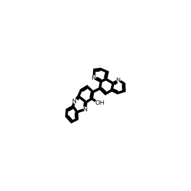 Oc1c(-c2cc3cccnc3c3cccnc23)ccc2nc3ccccc3nc12